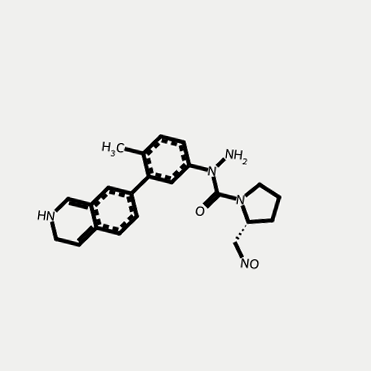 Cc1ccc(N(N)C(=O)N2CCC[C@@H]2CN=O)cc1-c1ccc2c(c1)=CNCC=2